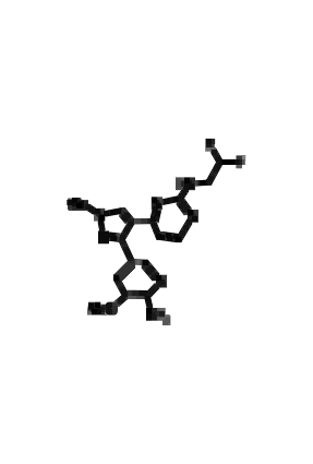 COc1cc(-c2nn(C(C)(C)C)cc2-c2ccnc(NCC(F)F)n2)cnc1N